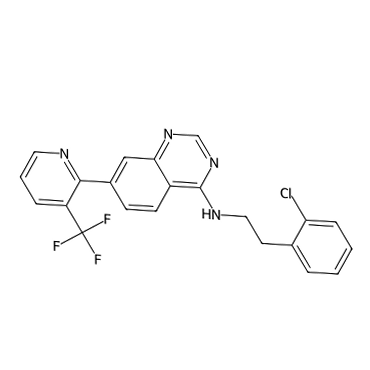 FC(F)(F)c1cccnc1-c1ccc2c(NCCc3ccccc3Cl)ncnc2c1